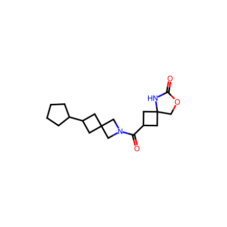 O=C1NC2(CO1)CC(C(=O)N1CC3(CC(C4CCCC4)C3)C1)C2